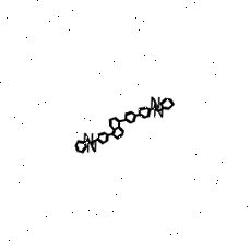 Cn1c(-c2ccc(-c3ccc(-c4cccc5c(-c6ccc(-c7nc8ccccc8n7C)cc6)cccc45)cc3)cc2)nc2ccccc21